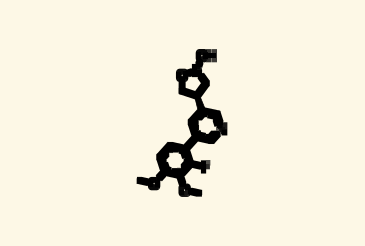 COc1ccc(-c2cncc([C@H]3COB(O)C3)c2)c(F)c1OC